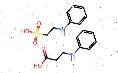 O=C(O)CCNc1ccccc1.O=S(=O)(O)CCNc1ccccc1